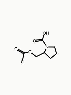 O=C(Cl)OCC1CCCN1C(=O)O